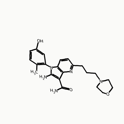 Cc1ccc(O)cc1-n1c(N)c(C(N)=O)c2nc(CCCN3CCOCC3)ccc21